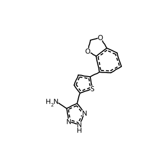 Nc1n[nH]nc1-c1ccc(-c2cccc3c2OCO3)s1